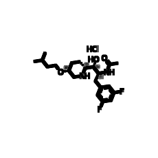 CC(=O)N[C@@H](Cc1cc(F)cc(F)c1)[C@@H](O)[C@H]1CC[C@@H](OCCC(C)C)CN1.Cl